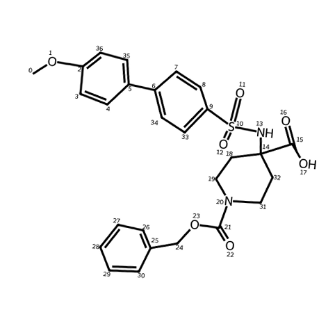 COc1ccc(-c2ccc(S(=O)(=O)NC3(C(=O)O)CCN(C(=O)OCc4ccccc4)CC3)cc2)cc1